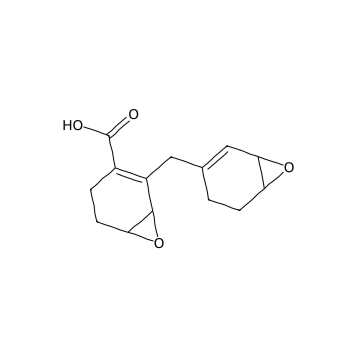 O=C(O)C1=C(CC2=CC3OC3CC2)C2OC2CC1